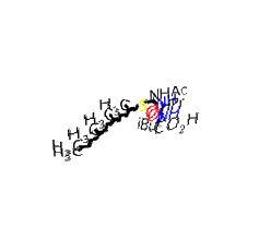 CC[C@H](C)[C@H](NC(=O)[C@@H](NC(=O)[C@@H](CSC/C=C(\C)CC/C=C(\C)CC/C=C(\C)CCC=C(C)C)NC(C)=O)C(C)C)C(=O)O